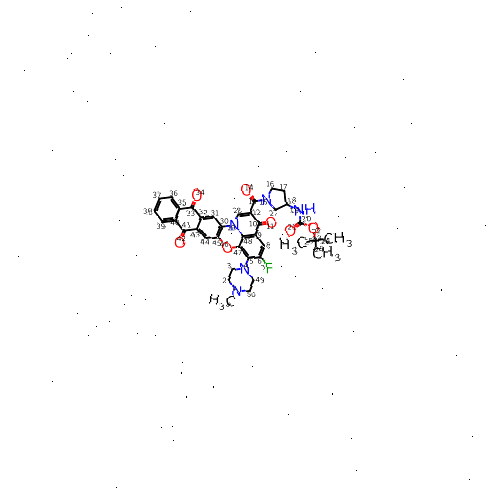 CN1CCN(c2c(F)cc3c(=O)c(C(=O)N4CCC(NC(=O)OC(C)(C)C)C4)cn4c5cc6c(=O)c7ccccc7c(=O)c6cc5oc2c34)CC1